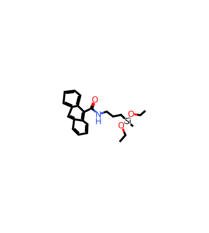 CCO[Si](C)(CCCNC(=O)c1c2ccccc2cc2ccccc12)OCC